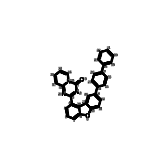 O=c1nc(-c2cccc3oc4ccc(-c5ccc(-c6ccccc6)cc5)cc4c23)nc2ccccn12